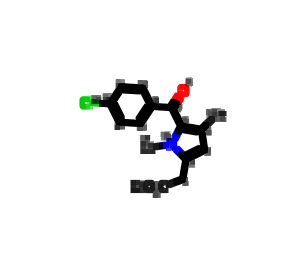 CCOC(=O)Cc1cc(CC)c(C(=O)c2ccc(Cl)cc2)n1CC